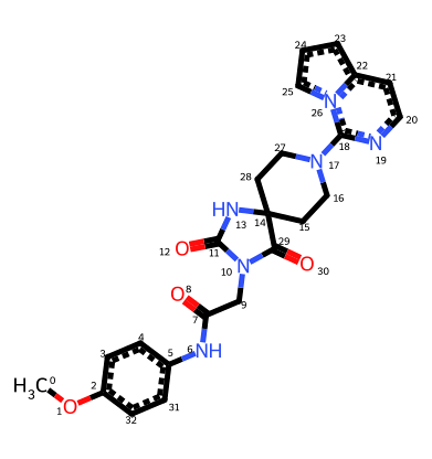 COc1ccc(NC(=O)CN2C(=O)NC3(CCN(c4nccc5cccn45)CC3)C2=O)cc1